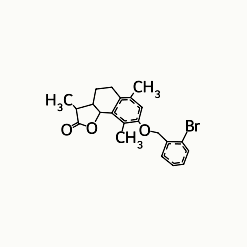 Cc1cc(OCc2ccccc2Br)c(C)c2c1CCC1C(C)C(=O)OC21